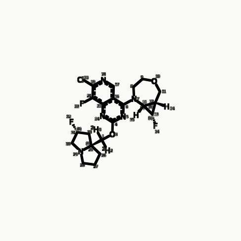 [2H]C([2H])(Oc1nc(N2CCOC[C@@H]3[C@H](F)[C@@H]32)c2cnc(Cl)c(F)c2n1)[C@@]12CCCN1C[C@H](F)C2